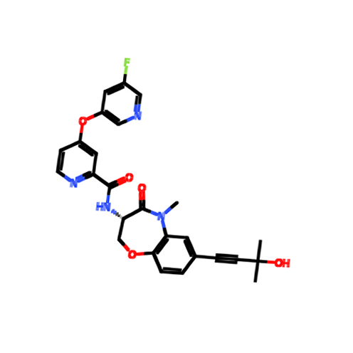 CN1C(=O)[C@@H](NC(=O)c2cc(Oc3cncc(F)c3)ccn2)COc2ccc(C#CC(C)(C)O)cc21